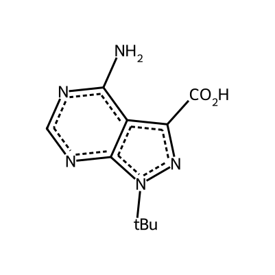 CC(C)(C)n1nc(C(=O)O)c2c(N)ncnc21